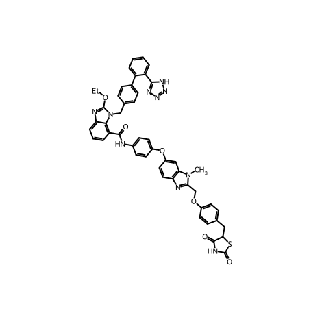 CCOc1nc2cccc(C(=O)Nc3ccc(Oc4ccc5nc(COc6ccc(CC7SC(=O)NC7=O)cc6)n(C)c5c4)cc3)c2n1Cc1ccc(-c2ccccc2-c2nnn[nH]2)cc1